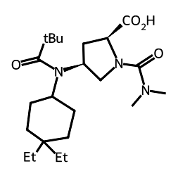 CCC1(CC)CCC(N(C(=O)C(C)(C)C)[C@H]2C[C@@H](C(=O)O)N(C(=O)N(C)C)C2)CC1